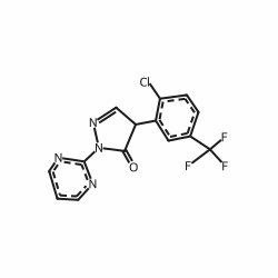 O=C1C(c2cc(C(F)(F)F)ccc2Cl)C=NN1c1ncccn1